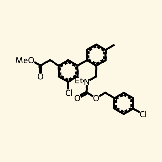 CCN(Cc1cc(C)ccc1-c1cc(Cl)cc(CC(=O)OC)c1)C(=O)OCc1ccc(Cl)cc1